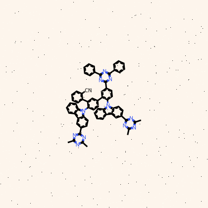 Cc1nc(C)nc(-c2ccc3c(c2)c2ccccc2n3-c2ccc(-c3nc(-c4ccccc4)nc(-c4ccccc4)n3)cc2-c2ccc(-n3c4ccccc4c4cc(-c5nc(C)nc(C)n5)ccc43)c(-c3ccccc3C#N)c2)n1